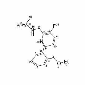 CCOCc1ccccc1-c1ccc(F)c(CN[C@H](C)C(C)C)n1